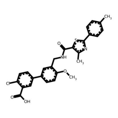 COc1ccc(-c2ccc(Cl)c(C(=O)O)c2)cc1CNC(=O)c1sc(-c2ccc(C)cc2)nc1C